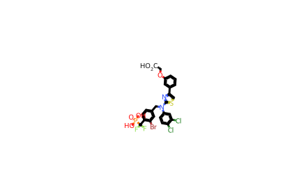 O=C(O)COc1cccc(-c2csc(N(Cc3ccc(C(F)(F)P(=O)(O)O)c(Br)c3)c3ccc(Cl)c(Cl)c3)n2)c1